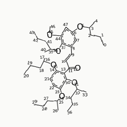 CCCC(C)Oc1cc(C=CC(=O)c2c(OC(C)CCC)ccc(OC(C)CCC)c2OC(C)CCC)c(OC(C)CCC)c(OC)c1